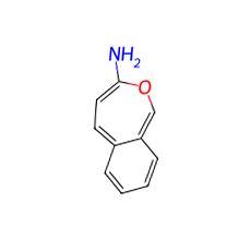 NC1=CC=c2ccccc2=CO1